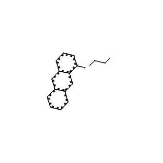 OCCSc1cccc2cc3ccccc3cc12